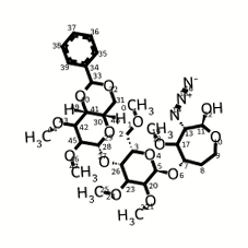 COC[C@@H]1O[C@@H](O[C@H]2CCO[C@H](O)[C@@H](N=[N+]=[N-])C2OC)C(OC)C(OC)[C@@H]1O[C@H]1O[C@H]2COC(c3ccccc3)O[C@H]2C(OC)C1OC